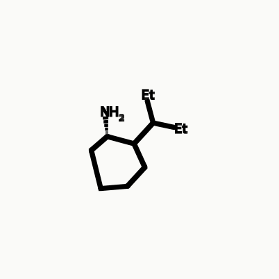 CCC(CC)C1CCCC[C@@H]1N